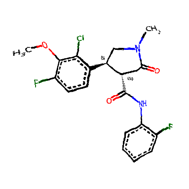 COc1c(F)ccc([C@H]2CN(C)C(=O)[C@@H]2C(=O)Nc2ccccc2F)c1Cl